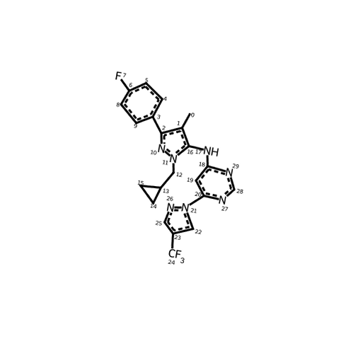 Cc1c(-c2ccc(F)cc2)nn(CC2CC2)c1Nc1cc(-n2cc(C(F)(F)F)cn2)ncn1